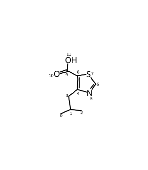 CC(C)Cc1ncsc1C(=O)O